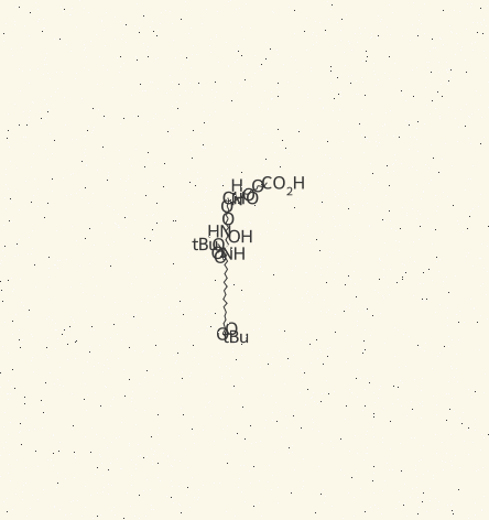 CC(C)(C)OC(=O)CCCCCCCCCCCCCCCCC(=O)N[C@@H](CCC(O)NCCOCCOC(C=O)CNCCOCCOCC(=O)O)C(=O)OC(C)(C)C